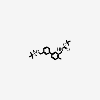 Cc1ccc(-c2cccc(CO[Si](C)(C)C(C)(C)C)c2)cc1CNC(=O)OC(C)(C)C